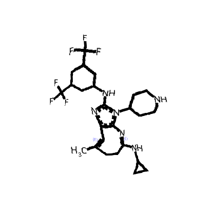 C/C1=C\c2nc(NC3CC(C(F)(F)F)CC(C(F)(F)F)C3)n(C3CCNCC3)c2/N=C(/NC2CC2)CC1